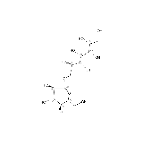 OC[C@@H](O)[C@H](O)[C@@H](O)[C@H](O)[C@H](O)CO[C@@H]1O[C@H](CO)[C@@H](O)[C@H](O)[C@H]1O